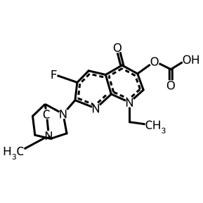 CCn1cc(OC(=O)O)c(=O)c2cc(F)c(N3CC4CCC3CN4C)nc21